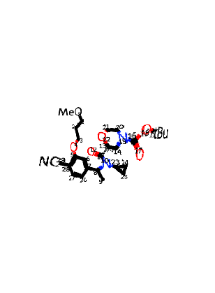 COCCCOc1cc(C(C)N(C(=O)[C@H]2CN(C(=O)OC(C)(C)C)CCO2)C2CC2)ccc1C#N